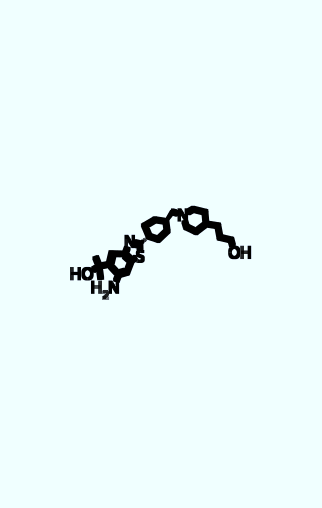 CC(C)(O)c1cc2nc([C@H]3CC[C@H](CN4CCC(CCCO)CC4)CC3)sc2cc1N